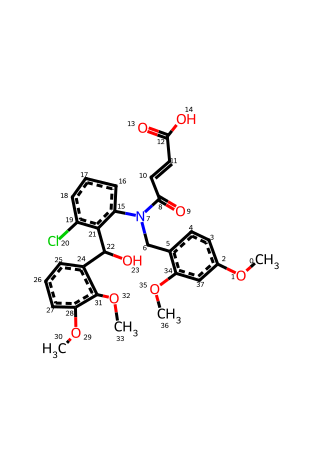 COc1ccc(CN(C(=O)C=CC(=O)O)c2cccc(Cl)c2C(O)c2cccc(OC)c2OC)c(OC)c1